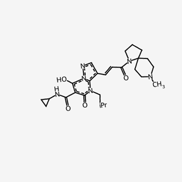 CC(C)Cn1c(=O)c(C(=O)NC2CC2)c(O)n2ncc(/C=C/C(=O)N3CCCC34CCN(C)CC4)c12